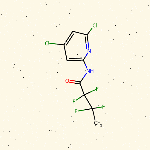 O=C(Nc1cc(Cl)cc(Cl)n1)C(F)(F)C(F)(F)C(F)(F)F